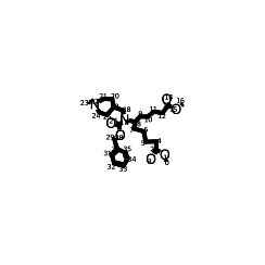 COC(=O)CCCCC(CCCCC(=O)OC)N(CC1CCN(C)CC1)C(=O)OCc1ccccc1